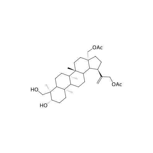 C=C(COC(C)=O)[C@@H]1CC[C@]2(COC(C)=O)CC[C@]3(C)C(CCC4[C@@]5(C)CC[C@H](O)[C@@](C)(CO)C5CC[C@]43C)C12